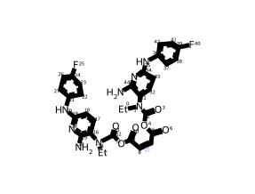 CCN(C(=O)OC(=O)/C=C\C(=O)OC(=O)N(CC)c1ccc(Nc2ccc(F)cc2)nc1N)c1ccc(Nc2ccc(F)cc2)nc1N